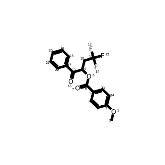 COc1ccc(C(=O)OC(CC(F)(F)F)C(=O)c2ccccc2)cc1